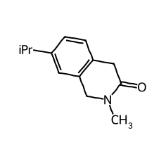 CC(C)c1ccc2c(c1)CN(C)C(=O)C2